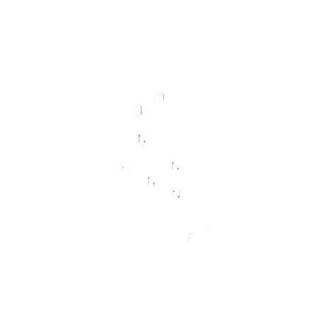 CC(Br)c1cc2nc(N3CCC(F)(F)CC3)n(C)c(=O)c2nc1Cl